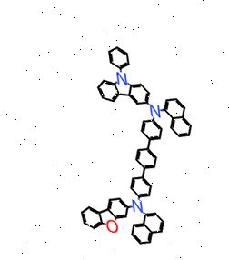 c1ccc(-n2c3ccccc3c3cc(N(c4ccc(-c5ccc(-c6ccc(N(c7ccc8c(c7)oc7ccccc78)c7cccc8ccccc78)cc6)cc5)cc4)c4cccc5ccccc45)ccc32)cc1